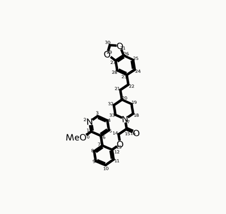 COc1ncccc1-c1ccccc1OCC(=O)N1CCC(CCc2ccc3c(c2)OCO3)CC1